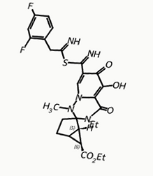 CCOC(=O)[C@H]1C2CCC3([C@@H]21)N(CC)C(=O)c1c(O)c(=O)c(C(=N)SC(=N)Cc2ccc(F)cc2F)cn1N3C